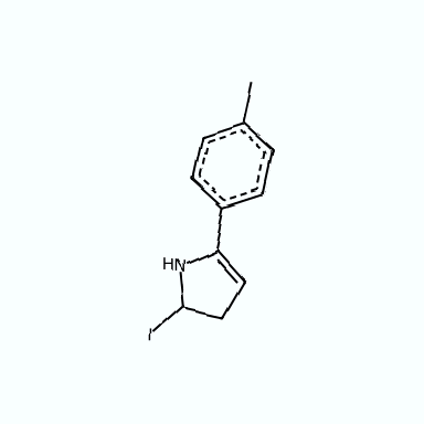 Cc1ccc(C2=CCC(I)N2)cc1